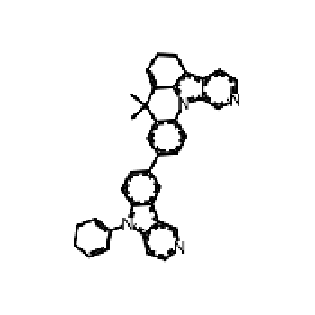 CC1(C)C2=CCCc3c2n(c2cnccc32)-c2ccc(-c3ccc4c(c3)c3cnccc3n4C3=CCCC=C3)cc21